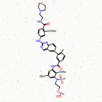 COc1cc(Nc2ncc3cc(-c4cc(C(=O)Nc5cc(C(C)(C)C)cc(N(CCOPO)S(C)(=O)=O)c5OC)ccc4C)ccc3n2)ccc1C(=O)NCCN1CCSCC1